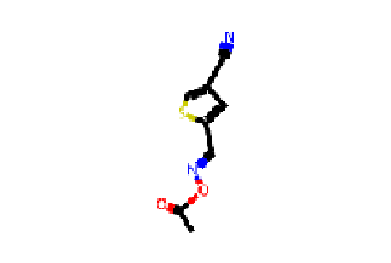 CC(=O)O/N=C/c1cc(C#N)cs1